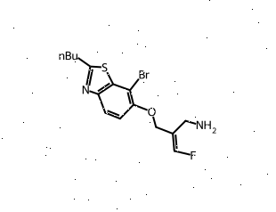 CCCCc1nc2ccc(OC/C(=C/F)CN)c(Br)c2s1